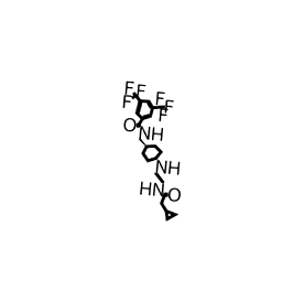 O=C(CC1CC1)NCCN[C@H]1CC[C@H](CNC(=O)c2cc(C(F)(F)F)cc(C(F)(F)F)c2)CC1